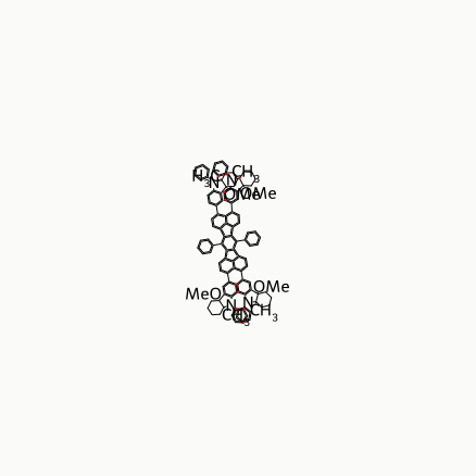 COC12CCCCC1(C)N(c1ccccc1)c1ccc(-c3ccc4c5c(-c6ccccc6)c6c7ccc(-c8ccc9c(c8)C8(OC)CCCCC8(C)N9c8ccccc8)c8c(-c9ccc%10c(c9)C9(OC)CCCCC9(C)N%10c9ccccc9)ccc(c6c(-c6ccccc6)c5c5ccc(-c6ccc9c(c6)C6(OC)CCCCC6(C)N9c6ccccc6)c3c45)c87)cc12